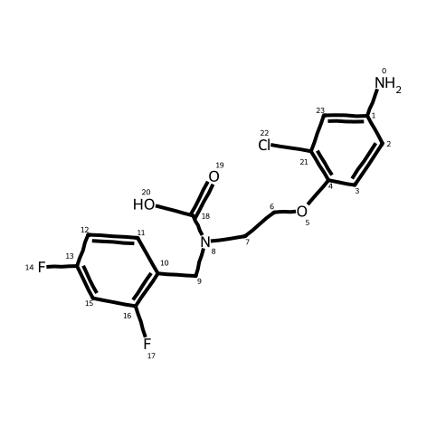 Nc1ccc(OCCN(Cc2ccc(F)cc2F)C(=O)O)c(Cl)c1